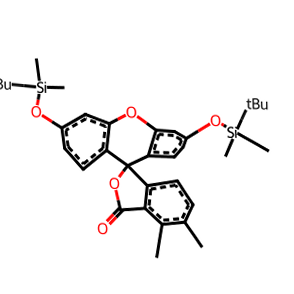 Cc1ccc2c(c1C)C(=O)OC21c2ccc(O[Si](C)(C)C(C)(C)C)cc2Oc2cc(O[Si](C)(C)C(C)(C)C)ccc21